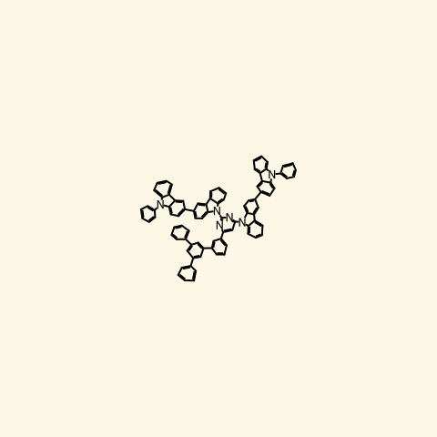 c1ccc(-c2cc(-c3ccccc3)cc(-c3cccc(-c4cc(-n5c6ccccc6c6cc(-c7ccc8c(c7)c7ccccc7n8-c7ccccc7)ccc65)nc(-n5c6ccccc6c6cc(-c7ccc8c(c7)c7ccccc7n8-c7ccccc7)ccc65)n4)c3)c2)cc1